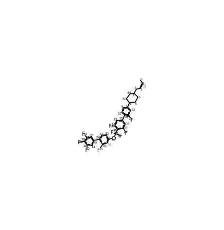 C/C=C\CC1CCC(c2ccc(-c3cc(F)c(C(F)(F)Oc4ccc(-c5cc(F)c(F)c(F)c5)c(F)c4)c(F)c3)c(F)c2)CC1